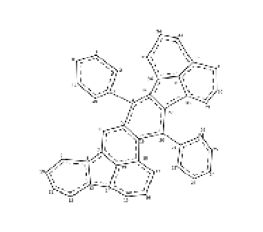 c1ccc(-c2c3cc4c5ccccc5c5cccc(c3c(-c3ccccn3)c3c6cccc7cccc(c23)c76)c54)cc1